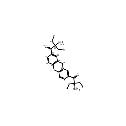 CCC(N)(CC)C(=O)c1ccc2c(c1)Cc1cc(C(=O)C(N)(CC)CC)ccc1O2